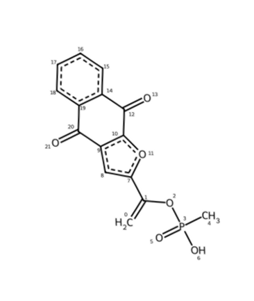 C=C(OP(C)(=O)O)c1cc2c(o1)C(=O)c1ccccc1C2=O